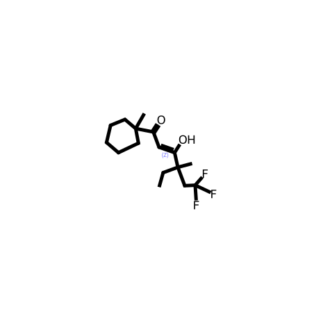 CCC(C)(CC(F)(F)F)/C(O)=C/C(=O)C1(C)CCCCC1